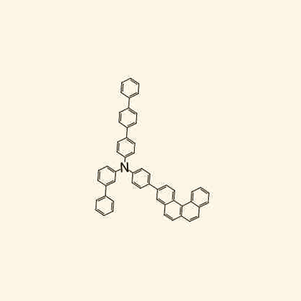 c1ccc(-c2ccc(-c3ccc(N(c4ccc(-c5ccc6c(ccc7ccc8ccccc8c76)c5)cc4)c4cccc(-c5ccccc5)c4)cc3)cc2)cc1